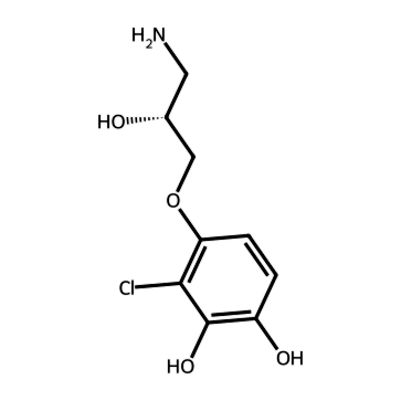 NC[C@@H](O)COc1ccc(O)c(O)c1Cl